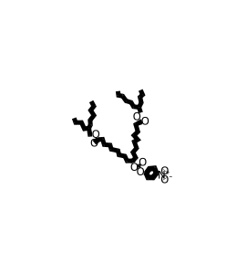 CCCCCCC(CCCC)COC(=O)CCCCCCCCC(CCCCCCCCC(=O)OCC(CCCC)CCCCCC)OC(=O)Oc1ccc([N+](=O)[O-])cc1